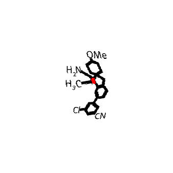 COC1CCC2(CC1)Cc1ccc(-c3cc(Cl)cc(C#N)c3)cc1C21N=C(C)C(N)=N1